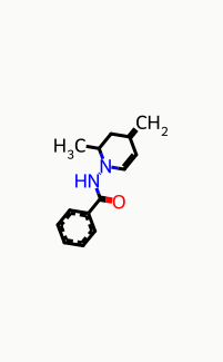 C=C1C=CN(NC(=O)c2ccccc2)C(C)C1